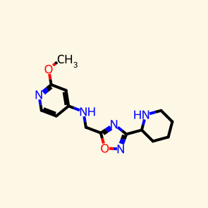 COc1cc(NCc2nc(C3CCCCN3)no2)ccn1